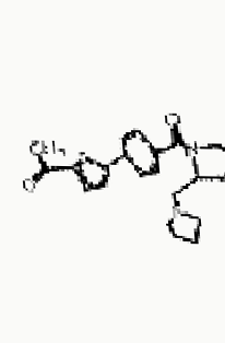 CC(=O)c1ccc(-c2ccc(C(=O)N3CCCC3CN3CCCC3)cc2)s1